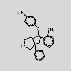 Cc1ccccc1OC1CCNCC1(CCCOc1ccc([N+](=O)[O-])cc1)c1ccccc1